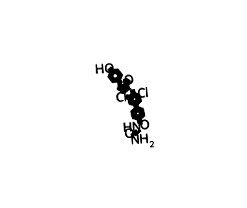 NC(=O)CNC(=O)c1ccc(-c2cc(Cl)c(C[C@@H]3CCN(C4CCC(O)CC4)C3=O)c(Cl)c2)cc1